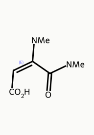 CNC(=O)/C(=C\C(=O)O)NC